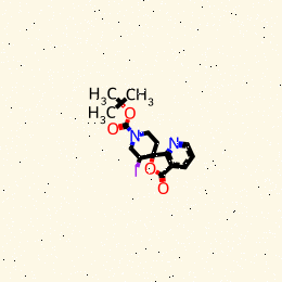 CC(C)(C)OC(=O)N1CCC2(OC(=O)c3cccnc32)C(I)C1